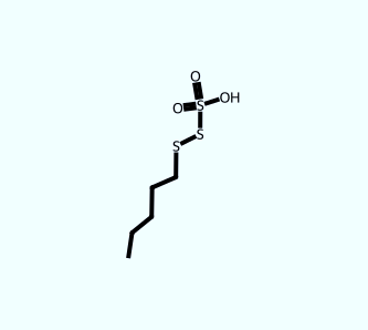 CCCCCSSS(=O)(=O)O